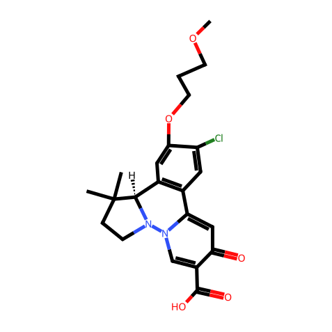 COCCCOc1cc2c(cc1Cl)-c1cc(=O)c(C(=O)O)cn1N1CCC(C)(C)[C@@H]21